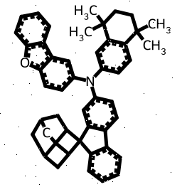 CC1(C)CCC(C)(C)c2cc(N(c3ccc4c(c3)C3(c5ccccc5-4)C4CC5CC6CC3C64C5)c3ccc4oc5ccccc5c4c3)ccc21